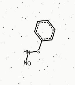 O=NNSc1ccccc1